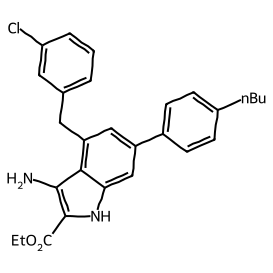 CCCCc1ccc(-c2cc(Cc3cccc(Cl)c3)c3c(N)c(C(=O)OCC)[nH]c3c2)cc1